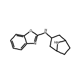 c1ccc2oc(NC3CC4CCC(C3)N4)nc2c1